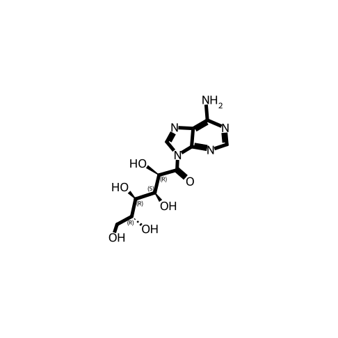 Nc1ncnc2c1ncn2C(=O)[C@H](O)[C@@H](O)[C@H](O)[C@H](O)CO